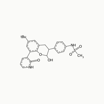 CC(C)(C)c1cc2c(c(-c3ccc[nH]c3=O)c1)OC(O)C(c1ccc(NS(C)(=O)=O)cc1)C2